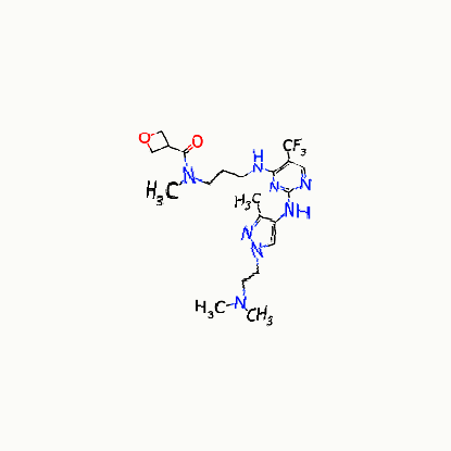 Cc1nn(CCN(C)C)cc1Nc1ncc(C(F)(F)F)c(NCCCN(C)C(=O)C2COC2)n1